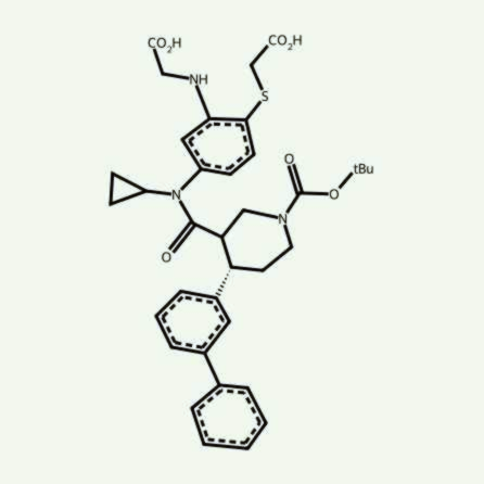 CC(C)(C)OC(=O)N1CC[C@H](c2cccc(-c3ccccc3)c2)C(C(=O)N(c2ccc(SCC(=O)O)c(NCC(=O)O)c2)C2CC2)C1